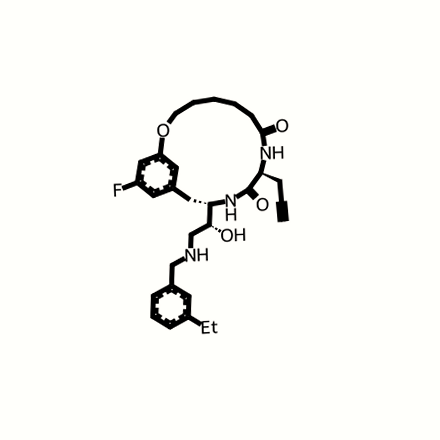 C#CC[C@@H]1NC(=O)CCCCCOc2cc(F)cc(c2)C[C@@H]([C@H](O)CNCc2cccc(CC)c2)NC1=O